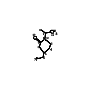 CC(N1CCC(CF)CC1=O)C(F)(F)F